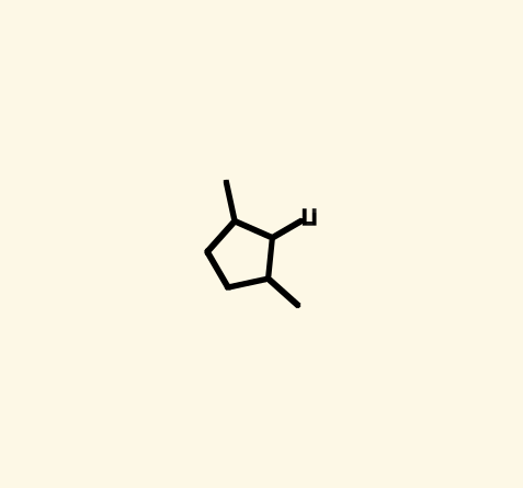 [Li][CH]1C(C)CCC1C